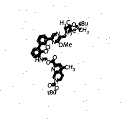 COc1nc(-c2cccc(-c3cccc(NCOC(=O)c4cc(C)c5c(n4)CN(C(=O)OC(C)(C)C)CC5)c3Cl)c2Cl)cnc1CN1CC(C)(O[Si](C)(C)C(C)(C)C)C1